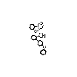 O=C([C@@H]1CNC[C@H]1c1ccccc1-c1ccc(Oc2ccccc2)cc1)N1CCOC[C@@H]1c1ccccc1